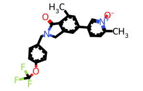 Cc1cc(-c2ccc(C)[n+]([O-])c2)cc2c1C(=O)N(Cc1ccc(OC(F)(F)F)cc1)C2